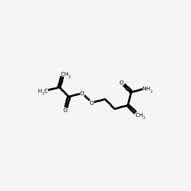 C=C(C)C(=O)OOCCC(=C)C(N)=O